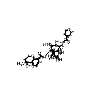 CC1(C)CCOc2c(C(=O)N[C@H]3CN4C(=N)N[C@@H](CNC(=O)c5ccncn5)[C@@H]5NC(=N)N[C@@]54C3(O)O)cccc21